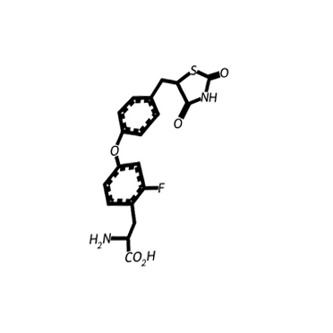 NC(Cc1ccc(Oc2ccc(CC3SC(=O)NC3=O)cc2)cc1F)C(=O)O